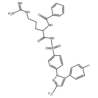 Cc1ccc(-c2cc(C(F)(F)F)nn2-c2ccc(S(=O)(=O)NC(=O)C(CCCNC(=N)N)NC(=O)c3ccccc3)cc2)cc1